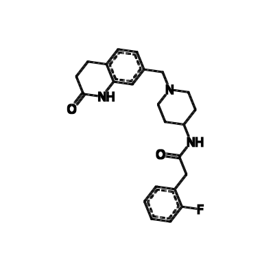 O=C1CCc2ccc(CN3CCC(NC(=O)Cc4ccccc4F)CC3)cc2N1